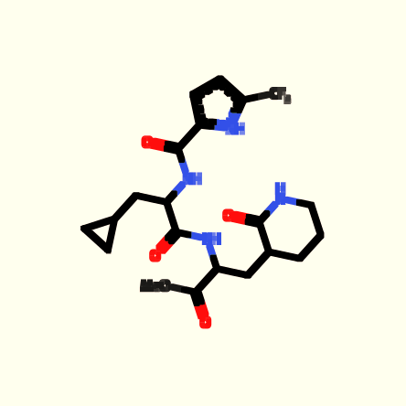 COC(=O)C(CC1CCCNC1=O)NC(=O)C(CC1CC1)NC(=O)c1ccc(C(F)(F)F)[nH]1